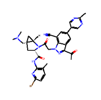 CC(=O)c1nn(CC(=O)N2[C@H]3C[C@]3(CN(C)C)C[C@H]2C(=O)Nc2nc(Br)ccc2C)c2c(C#N)cc(-c3cnc(C)nc3)cc12